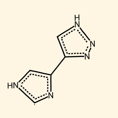 [c]1nc(-c2c[nH]nn2)c[nH]1